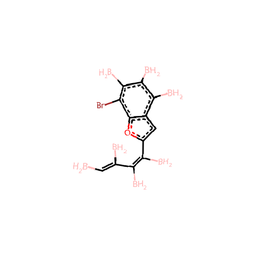 B/C=C(B)/C(B)=C(/B)c1cc2c(B)c(B)c(B)c(Br)c2o1